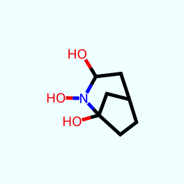 OC1CC2CCC(O)(C2)N1O